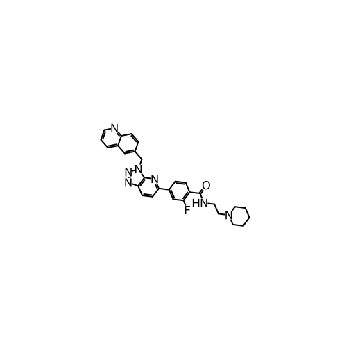 O=C(NCCN1CCCCC1)c1ccc(-c2ccc3nnn(Cc4ccc5ncccc5c4)c3n2)cc1F